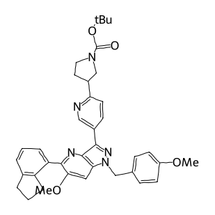 COc1ccc(Cn2nc(-c3ccc(C4CCN(C(=O)OC(C)(C)C)C4)nc3)c3nc(-c4cccc5c4CCC5)c(OC)cc32)cc1